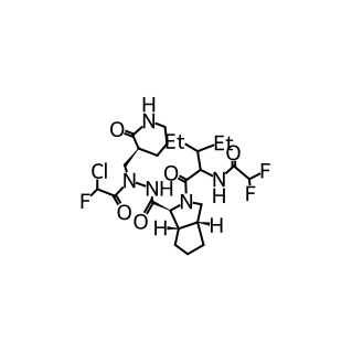 CCC(CC)C(NC(=O)C(F)F)C(=O)N1C[C@@H]2CCC[C@@H]2[C@H]1C(=O)NN(C[C@@H]1CCCNC1=O)C(=O)C(F)Cl